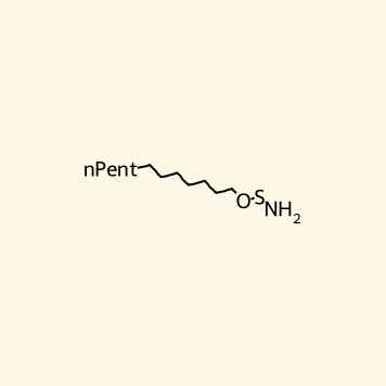 CCCCCCCCCCCCOSN